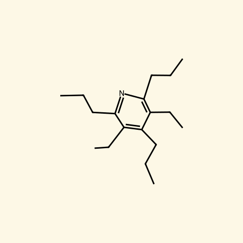 CCCc1nc(CCC)c(CC)c(CCC)c1CC